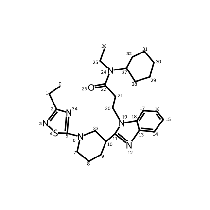 CCc1nsc(N2CCCC(c3nc4ccccc4n3CCC(=O)N(CC)C3CCCCC3)C2)n1